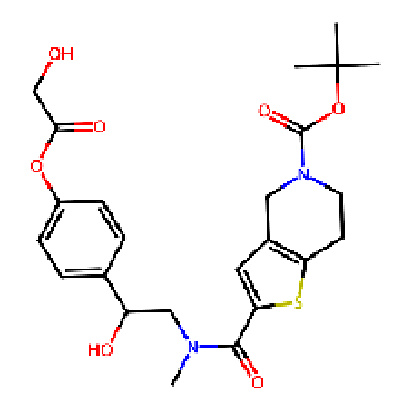 CN(CC(O)c1ccc(OC(=O)CO)cc1)C(=O)c1cc2c(s1)CCN(C(=O)OC(C)(C)C)C2